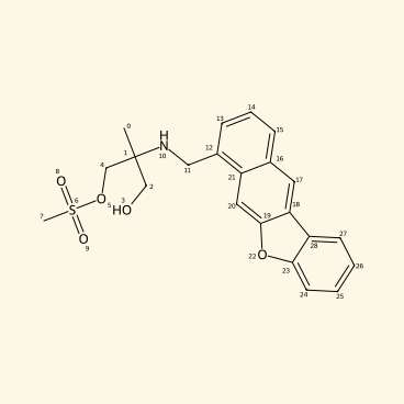 CC(CO)(COS(C)(=O)=O)NCc1cccc2cc3c(cc12)oc1ccccc13